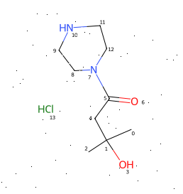 CC(C)(O)CC(=O)N1CCNCC1.Cl